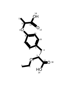 CCO[C@H](Cc1ccc(OC(C)C(=O)O)cc1)C(=O)O